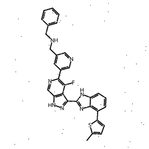 Cc1ccc(-c2cccc3[nH]c(-c4n[nH]c5cnc(-c6cncc(CNCc7ccccc7)c6)c(F)c45)nc23)s1